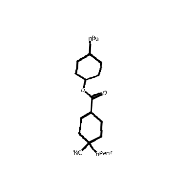 CCCCCC1(C#N)CCC(C(=O)OC2CCC(CCCC)CC2)CC1